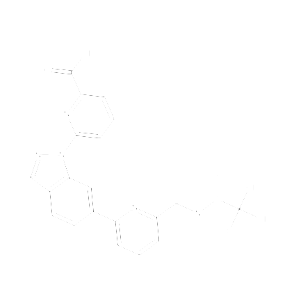 CC(=O)c1cccc(-n2ncc3ccc(-c4cccc(CN[S@+]([O-])C(C)(C)C)n4)cc32)n1